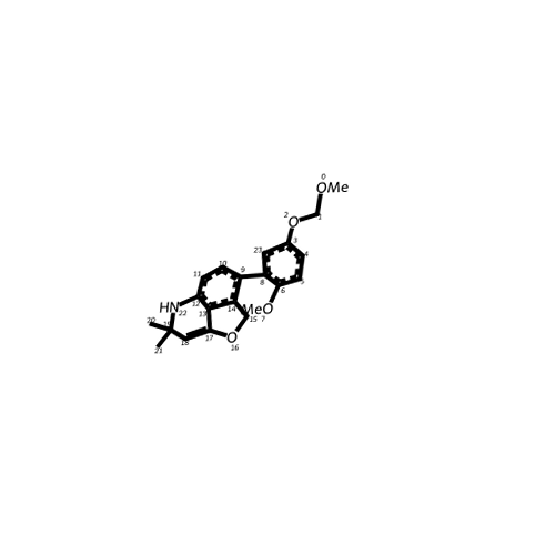 COCOc1ccc(OC)c(-c2ccc3c4c2COC4=CC(C)(C)N3)c1